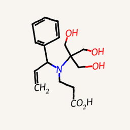 C=CC(c1ccccc1)N(CCC(=O)O)C(CO)(CO)CO